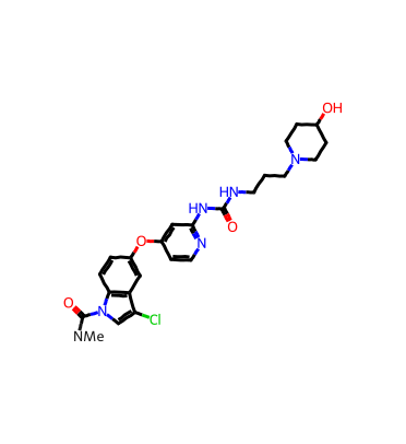 CNC(=O)n1cc(Cl)c2cc(Oc3ccnc(NC(=O)NCCCN4CCC(O)CC4)c3)ccc21